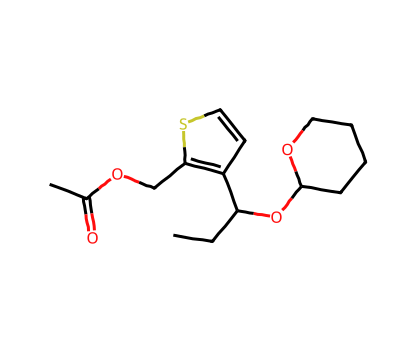 CCC(OC1CCCCO1)c1ccsc1COC(C)=O